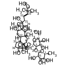 C[C@@H]1O[C@@H](O[C@H]2[C@H](O[C@H]3C[C@]4(C)[C@H](C[C@@H](O)[C@@H]5[C@@H]([C@@](C)(O)C/C=C/C(C)(C)OO)CC[C@]54C)[C@@]4(C)CC[C@H](O)C(C)(C)[C@H]34)O[C@H](CO)[C@@H](O)[C@@H]2O)[C@H](O)[C@H](O)[C@H]1O